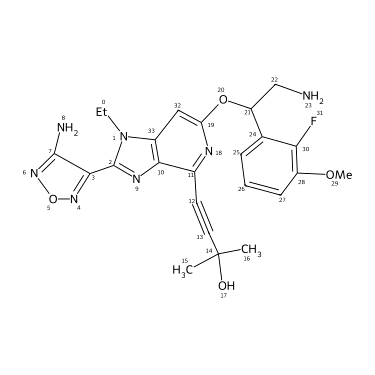 CCn1c(-c2nonc2N)nc2c(C#CC(C)(C)O)nc(OC(CN)c3cccc(OC)c3F)cc21